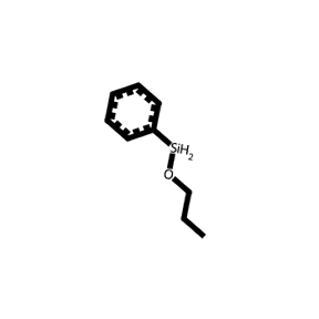 CCCO[SiH2]c1ccccc1